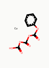 O=C(O)OC(=O)OC(=O)Oc1ccccc1.[Cu]